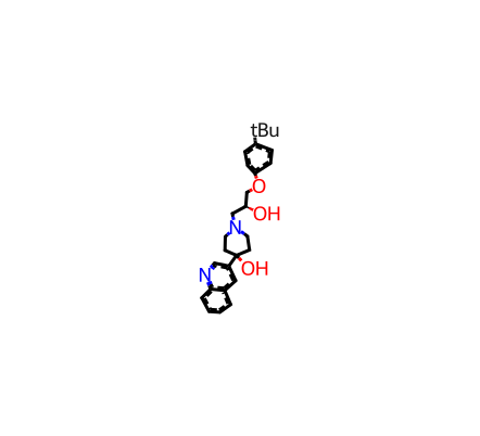 CC(C)(C)c1ccc(OC[C@@H](O)CN2CCC(O)(c3cnc4ccccc4c3)CC2)cc1